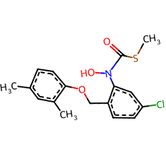 CSC(=O)N(O)c1cc(Cl)ccc1COc1ccc(C)cc1C